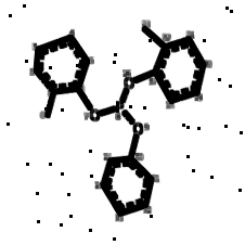 Cc1ccccc1OP(Oc1ccccc1)Oc1ccccc1C